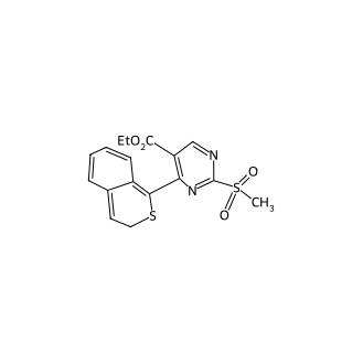 CCOC(=O)c1cnc(S(C)(=O)=O)nc1C1=c2ccccc2=CCS1